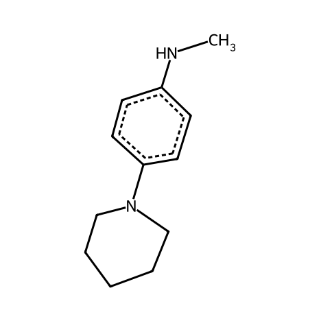 CNc1ccc(N2CCCCC2)cc1